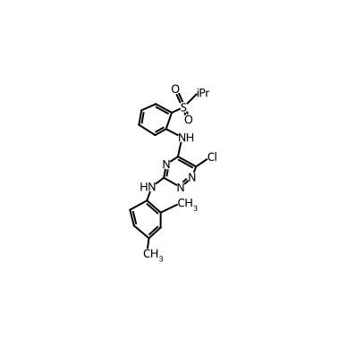 Cc1ccc(Nc2nnc(Cl)c(Nc3ccccc3S(=O)(=O)C(C)C)n2)c(C)c1